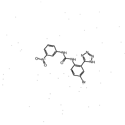 O=C(Nc1cccc([N+](=O)[O-])c1)Nc1ccc(Br)cc1-c1nnn[nH]1